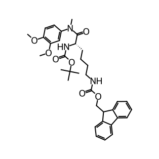 COc1ccc(N(C)C(=O)[C@H](CCCCNC(=O)OCC2c3ccccc3-c3ccccc32)NC(=O)OC(C)(C)C)cc1OC